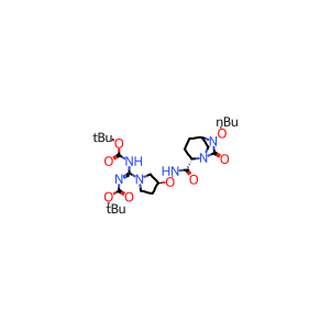 CCCCON1C(=O)N2CC1CC[C@H]2C(=O)NO[C@H]1CCN(/C(=N\C(=O)OC(C)(C)C)NC(=O)OC(C)(C)C)C1